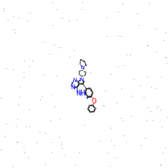 Nc1ncnc2c1c(-c1ccc(Oc3ccccc3)cc1)cn2[C@H]1CC[C@@H](N2CCCC2)CC1